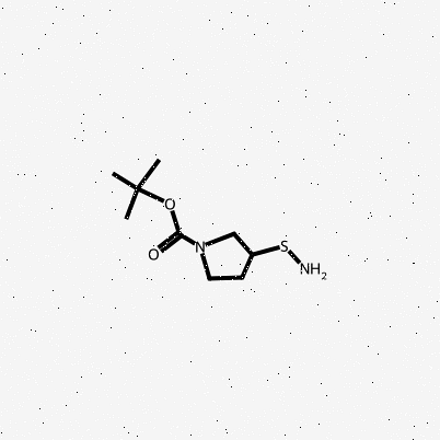 CC(C)(C)OC(=O)N1CCC(SN)C1